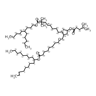 CCCCCCCCC(CCCCCCCC)OC(=O)CCCCCCCOCC1CC(OC(=O)CCN(C)C)CN1CCCCCCC(C)(C)C(=O)OCCCC(CCCCC)CCCCC